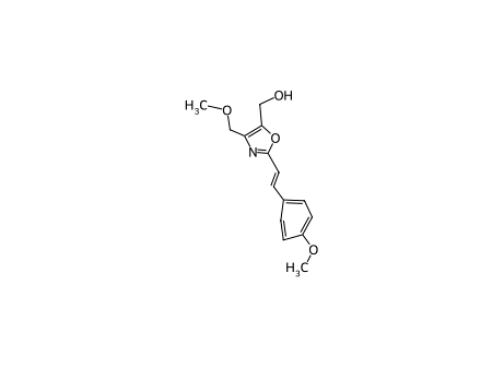 COCc1nc(C=Cc2ccc(OC)cc2)oc1CO